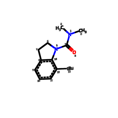 CN(C)C(=O)N1CCc2cccc(C(C)(C)C)c21